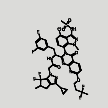 CC1Cc2c(C3CC3)nn(CC(=O)NC(Cc3cc(F)cc(F)c3)c3nc4nc(OCCC(C)(F)F)ccc4c(=O)n3-c3ccc(Cl)c4c(NS(C)(=O)=O)nn(C)c34)c2C1(F)F